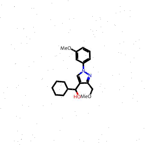 COCc1nn(-c2cccc(OC)c2)cc1C(O)C1CCCCC1